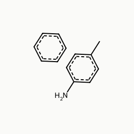 Cc1ccc(N)cc1.c1ccccc1